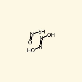 O=NS.ON=NO